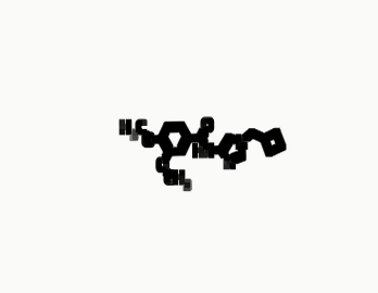 COc1ccc(C(=O)Nc2cn(CC3CCC3)cn2)cc1OC